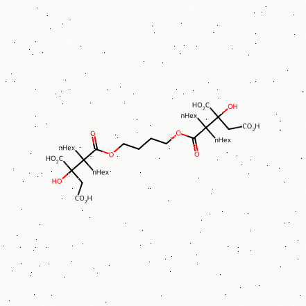 CCCCCCC(CCCCCC)(C(=O)OCCCCOC(=O)C(CCCCCC)(CCCCCC)C(O)(CC(=O)O)C(=O)O)C(O)(CC(=O)O)C(=O)O